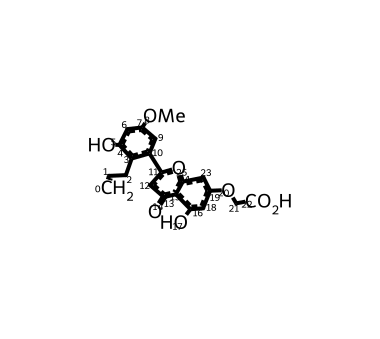 C=CCc1c(O)cc(OC)cc1-c1cc(=O)c2c(O)cc(OCC(=O)O)cc2o1